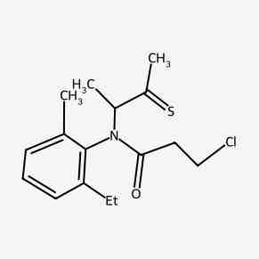 CCc1cccc(C)c1N(C(=O)CCCl)C(C)C(C)=S